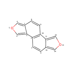 c1cc2c3cocc3ccc2c2cocc12